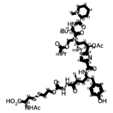 CCCC(=O)OCN(C(=O)[C@@H](NC(=O)[C@H]1CCCCN1C)C(C)CC)[C@H](C[C@@H](OC(C)=O)c1nc(C(=O)N[C@@H](Cc2ccc(O)cc2)C[C@H](C)C(=O)NNC(=O)OCCSSC[C@H](NC(C)=O)C(=O)O)cs1)C(C)C